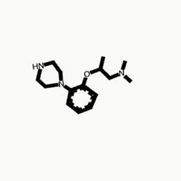 CC(CN(C)C)Oc1ccccc1N1CCNCC1